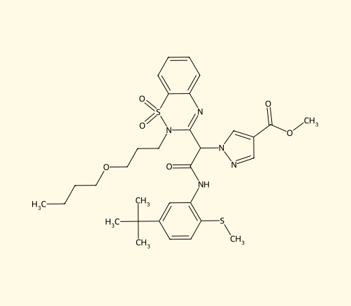 CCCCOCCCN1C(C(C(=O)Nc2cc(C(C)(C)C)ccc2SC)n2cc(C(=O)OC)cn2)=Nc2ccccc2S1(=O)=O